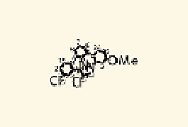 COc1ccc(-c2ccccc2-n2ncc(Cl)c2-c2cccc(Cl)c2)cc1